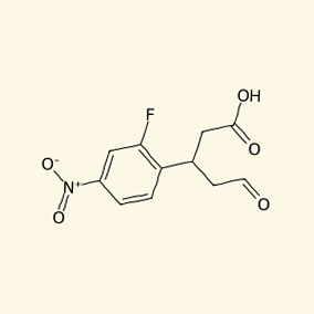 O=CCC(CC(=O)O)c1ccc([N+](=O)[O-])cc1F